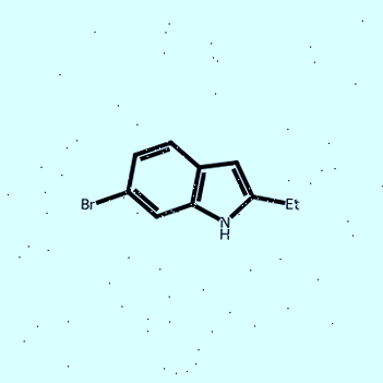 CCc1cc2ccc(Br)cc2[nH]1